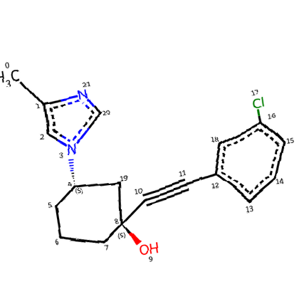 Cc1cn([C@H]2CCC[C@@](O)(C#Cc3cccc(Cl)c3)C2)cn1